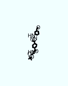 CC(C)(C)OC(=O)CNC(=O)c1ccc(-c2cnc(Nc3cccc(C=O)c3)nc2)cc1